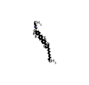 CC/C=C/COc1ccc(-c2ccc(-c3ccc(C4OCC(CCCCCCCCC)CO4)cc3F)cc2)c(F)c1F